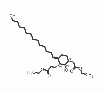 CCCCCCCCCCCCCC=C1CC[C@@H](CC(=O)OCC)[C@@H](O)[C@H]1SCC(=O)OCC